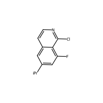 CC(C)c1cc(F)c2c(Cl)nccc2c1